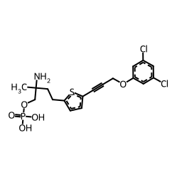 CC(N)(CCc1ccc(C#CCOc2cc(Cl)cc(Cl)c2)s1)COP(=O)(O)O